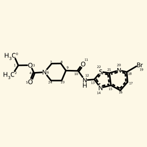 CC(C)OC(=O)N1CCC(C(=O)Nc2nc3ccc(Br)nc3s2)CC1